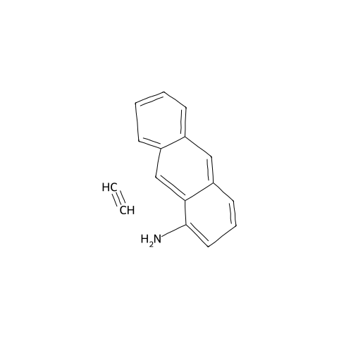 C#C.Nc1cccc2cc3ccccc3cc12